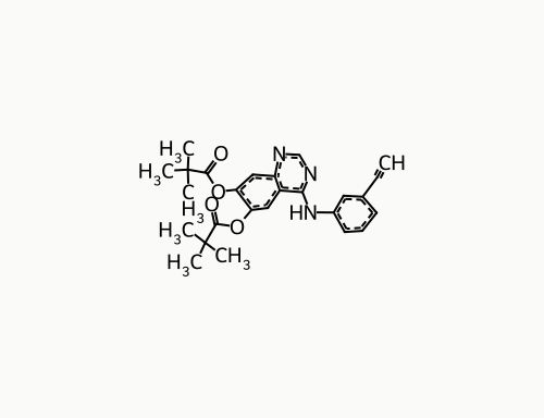 C#Cc1cccc(Nc2ncnc3cc(OC(=O)C(C)(C)C)c(OC(=O)C(C)(C)C)cc23)c1